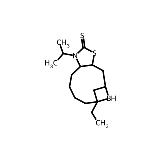 CCC12BC(CC3SC(=S)N(C(C)C)C3CCCC1)C2